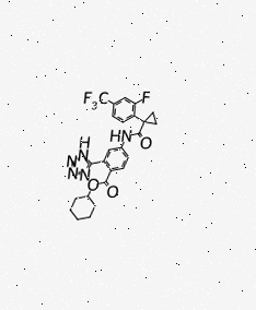 O=C(OC1CCCCC1)c1ccc(NC(=O)C2(c3ccc(C(F)(F)F)cc3F)CC2)cc1-c1nnn[nH]1